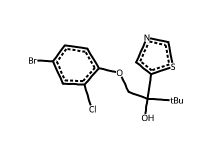 CC(C)(C)C(O)(COc1ccc(Br)cc1Cl)c1cncs1